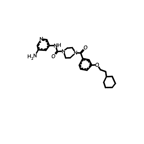 Nc1cncc(NC(=O)N2CCN(C(=O)c3cccc(OCCC4CCCCC4)c3)CC2)c1